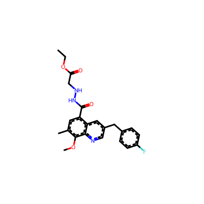 CCOC(=O)CNNC(=O)c1cc(C)c(OC)c2ncc(Cc3ccc(F)cc3)cc12